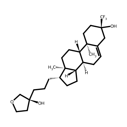 C[C@]12CC[C@H]3[C@@H](CC=C4C[C@](O)(C(F)(F)F)CC[C@@]43C)[C@@H]1CC[C@@H]2CCC[C@]1(O)CCOC1